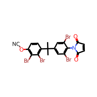 CC(C)(c1cc(Br)c(N2C(=O)C=CC2=O)c(Br)c1)c1ccc(OC#N)c(Br)c1Br